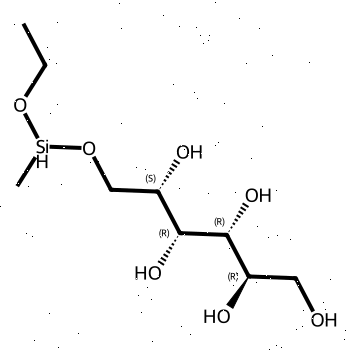 CCO[SiH](C)OC[C@H](O)[C@@H](O)[C@H](O)[C@H](O)CO